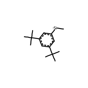 C[Si]c1cc(C(C)(C)C)cc(C(C)(C)C)c1